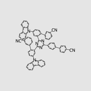 N#Cc1ccc(-c2ccc(-c3nc(-c4cc(-n5c6ccccc6c6ccccc65)ccc4-c4cccc(C#N)c4)nc(-c4cc(-n5c6ccccc6c6ccccc65)ccc4-c4cccc(C#N)c4)n3)cc2)cc1